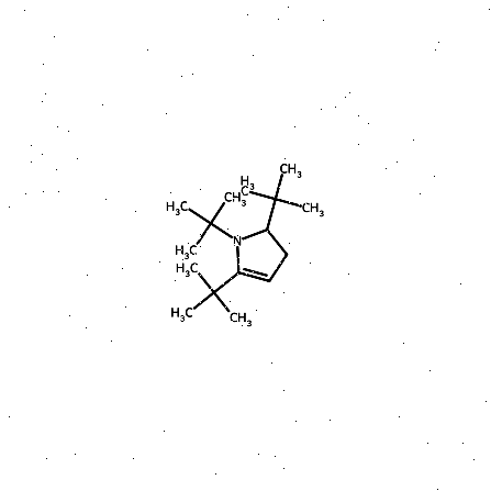 CC(C)(C)C1=CCC(C(C)(C)C)N1C(C)(C)C